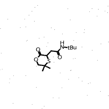 CC(C)(C)NC(=O)CC1SC(C)(C)COC1=O